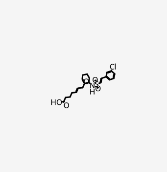 O=C(O)CCCC=CCC1C2CCC(O2)C1NS(=O)(=O)C=Cc1cccc(Cl)c1